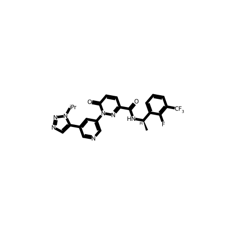 CC(C)n1nncc1-c1cncc(-n2nc(C(=O)N[C@H](C)c3cccc(C(F)(F)F)c3F)ccc2=O)c1